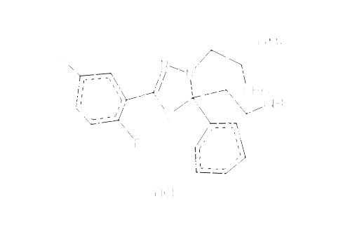 CO[C@H](C=O)CN1N=C(c2cc(F)ccc2F)SC1(CCN)c1ccccc1.Cl